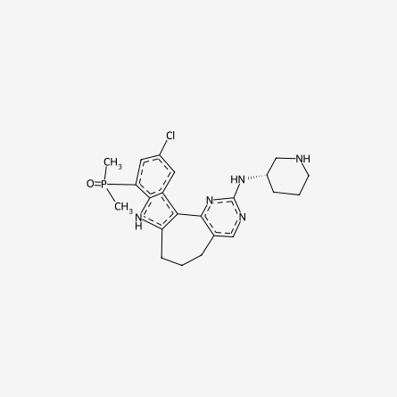 CP(C)(=O)c1cc(Cl)cc2c3c([nH]c12)CCCc1cnc(N[C@H]2CCCNC2)nc1-3